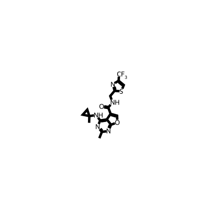 Cc1nc(NC2(C)CC2)c2c(C(=O)NCc3nc(C(F)(F)F)cs3)coc2n1